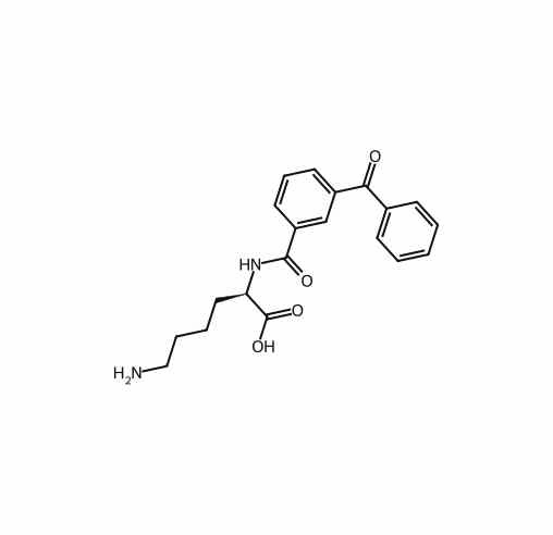 NCCCC[C@@H](NC(=O)c1cccc(C(=O)c2ccccc2)c1)C(=O)O